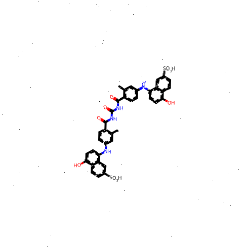 Cc1cc(Nc2ccc(O)c3ccc(S(=O)(=O)O)cc23)ccc1C(=O)NC(=O)NC(=O)c1ccc(Nc2ccc(O)c3ccc(S(=O)(=O)O)cc23)cc1C